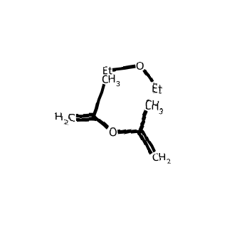 C=C(C)OC(=C)C.CCOCC